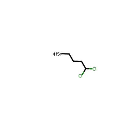 ClC(Cl)CC[CH2][SnH]